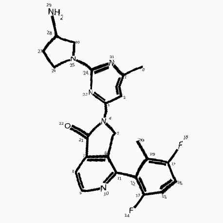 Cc1cc(N2Cc3c(ccnc3-c3c(F)ccc(F)c3C)C2=O)nc(N2CCC(N)C2)n1